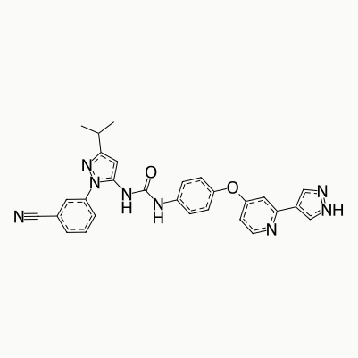 CC(C)c1cc(NC(=O)Nc2ccc(Oc3ccnc(-c4cn[nH]c4)c3)cc2)n(-c2cccc(C#N)c2)n1